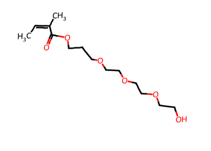 CC=C(C)C(=O)OCCCOCCOCCOCCO